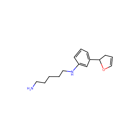 NCCCCCNc1cccc(C2CC=CO2)c1